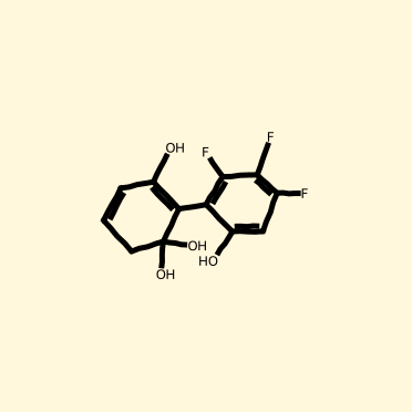 OC1=C(c2c(O)cc(F)c(F)c2F)C(O)(O)CC=C1